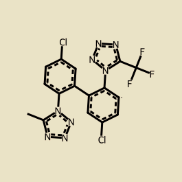 Cc1nnnn1-c1ccc(Cl)cc1-c1cc(Cl)c[c]c1-n1nnnc1C(F)(F)F